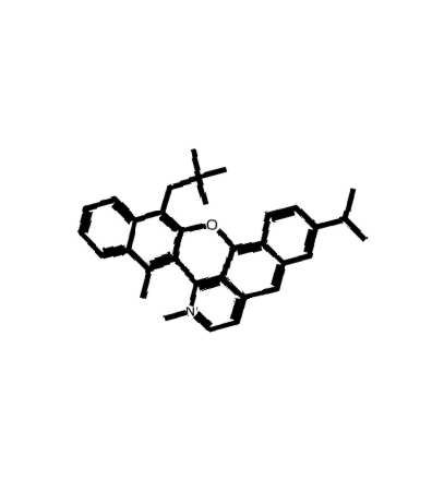 Cc1c2c(c(CC(C)(C)C)c3ccccc13)Oc1c3ccc(C(C)C)cc3cc3cc[n+](C)c-2c13